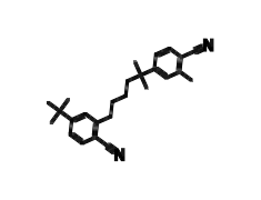 Cc1cc(C(C)(C)CCCCc2cc(C(C)(C)C)ccc2C#N)ccc1C#N